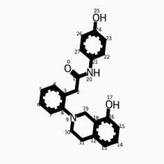 O=C(Cc1ccccc1N1CCc2cccc(O)c2C1)Nc1ccc(O)cc1